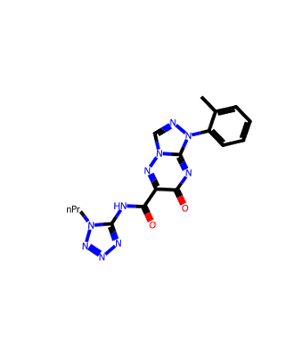 CCCn1nnnc1NC(=O)c1nn2cnn(-c3ccccc3C)c2nc1=O